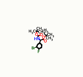 CC(C)(C)OC(=O)NC(C(=O)OC(C)(C)C)c1ccc(F)c(Br)c1